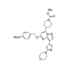 COc1ccc(COc2cc(C3CCN(C(=O)OC(C)(C)C)CC3)n3ncc(-c4cnc(N5CCOCC5)s4)c3n2)cc1